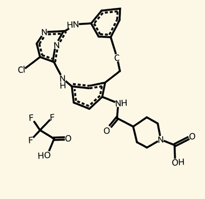 O=C(Nc1ccc2cc1CCc1cccc(c1)Nc1ncc(Cl)c(n1)N2)C1CCN(C(=O)O)CC1.O=C(O)C(F)(F)F